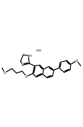 COCCCOc1cc2ccc(-c3ccc(OC)cc3)cc2cc1C1=NCCN1.Cl